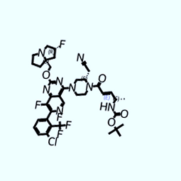 C[C@@H](/C=C/C(=O)N1CCN(c2nc(OC[C@@]34CCCN3C[C@H](F)C4)nc3c(F)c(-c4cccc(Cl)c4C(F)(F)F)ncc23)C[C@@H]1CC#N)NC(=O)OC(C)(C)C